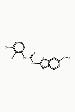 COc1ccc2nc(NC(=O)Nc3cccc(Cl)c3Cl)sc2c1